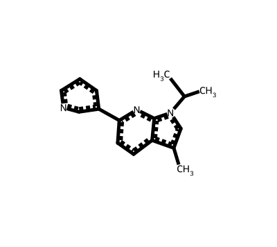 Cc1cn(C(C)C)c2nc(-c3cccnc3)ccc12